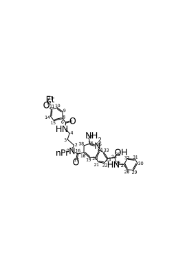 CCCN(CCCNC(=O)c1ccc(OCC)cc1)C(=O)C1=Cc2ccc(C(O)Nc3ccccc3)cc2N=C(N)C1